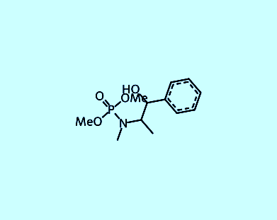 COP(=O)(OC)N(C)C(C)C(O)c1ccccc1